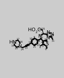 Cc1sc2c(c1C)C(c1ccc(C#CCN3CCNCC3)cc1)=N[C@@H](CC(=O)O)c1nnc(C)n1-2